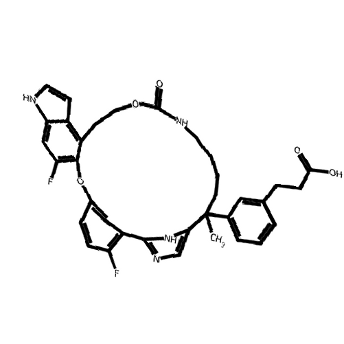 CC1(c2cccc(CCC(=O)O)c2)CCCCNC(=O)OCCc2c(c(F)cc3[nH]ccc23)Oc2ccc(F)c(c2)-c2ncc1[nH]2